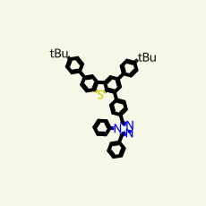 CC(C)(C)c1ccc(-c2ccc3sc4c(-c5ccc(-c6nnc(-c7ccccc7)n6-c6ccccc6)cc5)cc(-c5ccc(C(C)(C)C)cc5)cc4c3c2)cc1